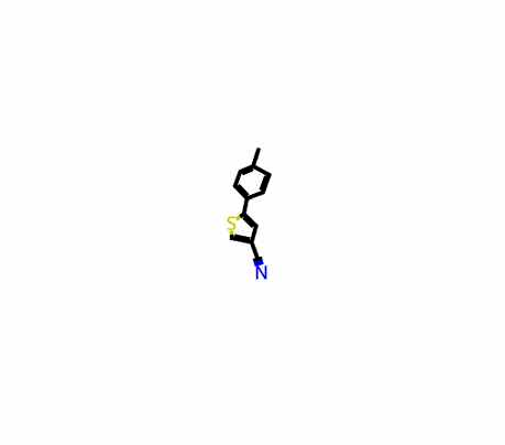 Cc1ccc(-c2cc(C#N)cs2)cc1